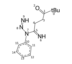 CC(C)(C)C(=O)CCC(=N)N(N=N)c1ccccc1